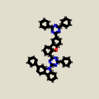 c1ccc(-c2ccc3c4ccccc4n(-c4nc(-c5ccccc5)nc(-c5cccc6c5oc5ccc(-c7nc(-c8ccccc8)nc(-c8ccccc8)n7)cc56)n4)c3c2)cc1